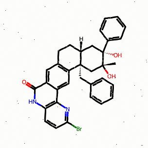 C[C@@]1(O)C[C@@]2(Cc3ccccc3)c3cc4c(cc3CC[C@@H]2C[C@@]1(O)c1ccccc1)c(=O)[nH]c1ccc(Br)nc14